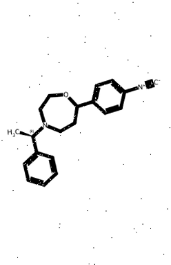 [C-]#[N+]c1ccc(C2CCN([C@H](C)c3ccccc3)CCO2)cc1